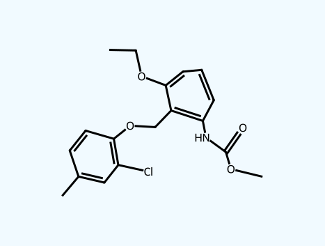 CCOc1cccc(NC(=O)OC)c1COc1ccc(C)cc1Cl